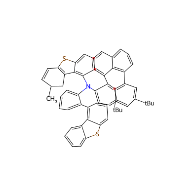 CC1C=Cc2sc3cccc(N(c4ccccc4-c4cccc5cccc(-c6cc(C(C)(C)C)cc(C(C)(C)C)c6)c45)c4ccccc4-c4cccc5sc6ccccc6c45)c3c2C1